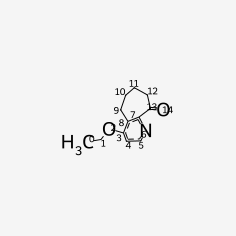 CCOc1ccnc2c1CCCCC2=O